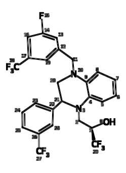 O[C@H](CN1c2ccccc2N(Cc2cc(F)cc(C(F)(F)F)c2)CC1c1cccc(C(F)(F)F)c1)C(F)(F)F